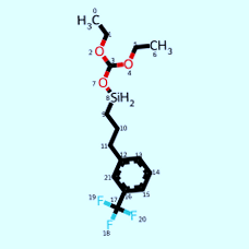 CCOC(OCC)O[SiH2]CCCc1cccc(C(F)(F)F)c1